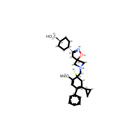 COC1=CC(c2ccccc2)=C(C2CC2)CC1(F)CN1CC2(CC([C@H]3CC[C@H](C(=O)O)CC3)=NO2)C1